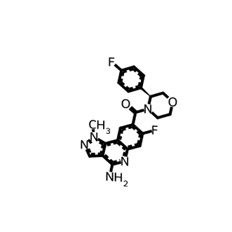 Cn1ncc2c(N)nc3cc(F)c(C(=O)N4CCOC[C@@H]4c4ccc(F)cc4)cc3c21